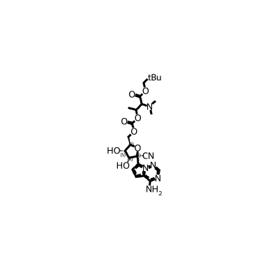 CC(OC(=O)OC[C@H]1O[C@@](C#N)(c2ccc3c(N)ncnn23)[C@H](O)[C@@H]1O)C(C(=O)OCC(C)(C)C)N(C)C